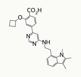 Cc1c(C)n(C)c2c(CCNc3cc(-c4ccc(C(=O)O)c(OC5CCC5)c4)ncn3)cccc12